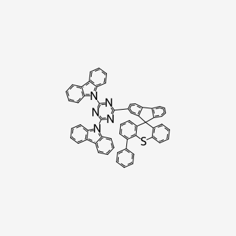 c1ccc(-c2cccc3c2Sc2ccccc2C32c3ccccc3-c3ccc(-c4nc(-n5c6ccccc6c6ccccc65)nc(-n5c6ccccc6c6ccccc65)n4)cc32)cc1